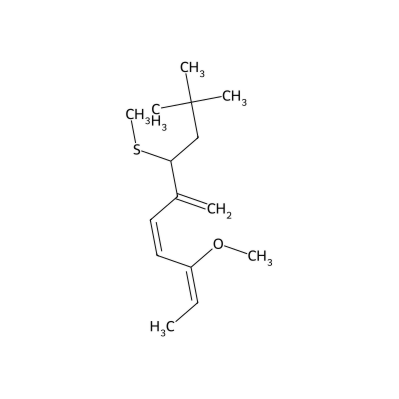 C=C(/C=C\C(=C/C)OC)C(CC(C)(C)C)SC